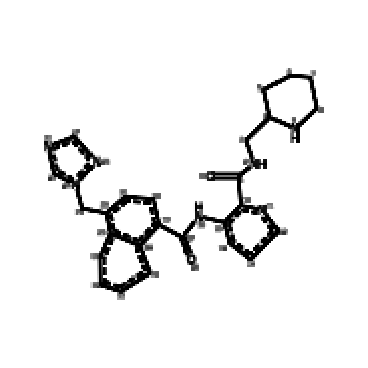 O=C(NCC1CCCCN1)c1ncccc1NC(=O)c1ccc(Cn2cncn2)c2ccccc12